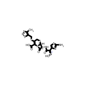 Cc1nnsc1CSC1=C(C(=O)O)N2C(=O)[C@@H](NC(=O)/C(=N\O)c3csc(N)n3)[C@@H]2SC1